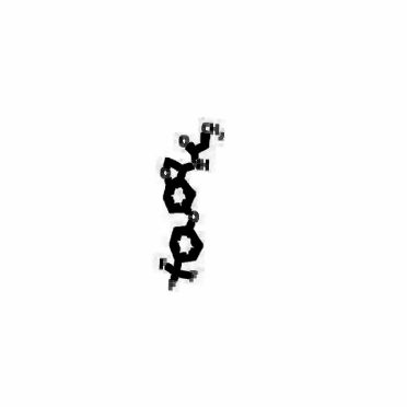 C=CC(=O)NC1COc2ccc(Oc3ccc(C(F)(F)F)cc3)cc21